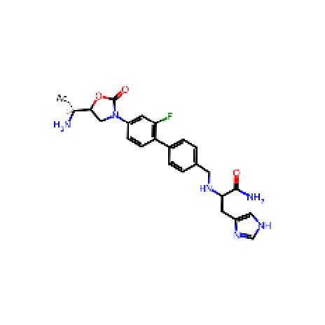 CC(=O)[C@@H](N)C1CN(c2ccc(-c3ccc(CNC(Cc4c[nH]cn4)C(N)=O)cc3)c(F)c2)C(=O)O1